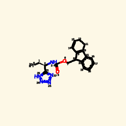 CC(C)C[C@H](NC(=O)OCC1C2=C(CCC=C2)c2ccccc21)c1nnn[nH]1